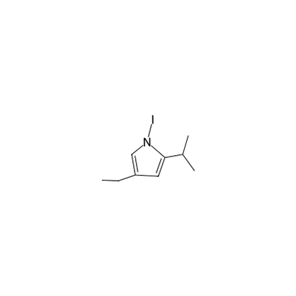 CCc1cc(C(C)C)n(I)c1